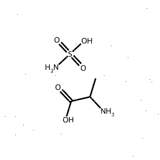 CC(N)C(=O)O.NS(=O)(=O)O